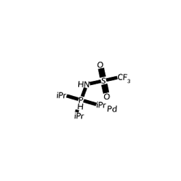 CC(C)[PH](NS(=O)(=O)C(F)(F)F)(C(C)C)C(C)C.[Pd]